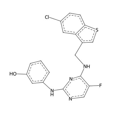 Oc1cccc(Nc2ncc(F)c(NCc3csc4ccc(Cl)cc34)n2)c1